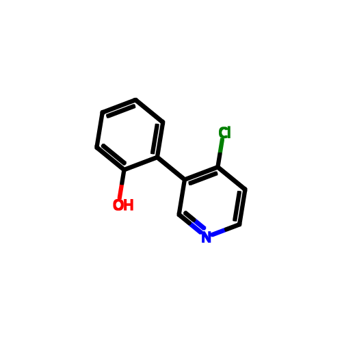 Oc1ccccc1-c1cnccc1Cl